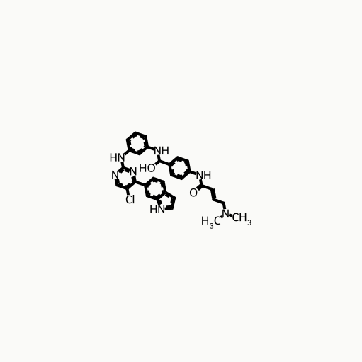 CN(C)C/C=C/C(=O)Nc1ccc(C(O)Nc2cccc(Nc3ncc(Cl)c(-c4ccc5cc[nH]c5c4)n3)c2)cc1